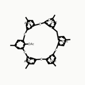 CC(=O)Oc1c2cc(C)cc1Cc1cc(C)cc(c1OC(C)=O)Cc1cc(C)cc(c1OC(C)=O)Cc1cc(C)cc(c1OC(C)=O)Cc1cc(C)cc(c1OC(C)=O)Cc1cc(C)cc(c1OC(C)=O)C2